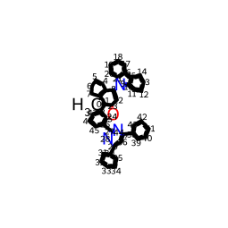 CC12C3=C(C=CCC3)C(n3c4ccccc4c4ccccc43)=CC1Oc1c(-c3nc(-c4ccccc4)cc(-c4ccccc4)n3)cccc12